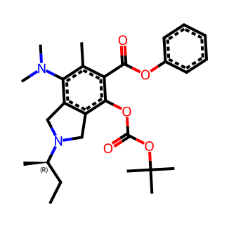 CC[C@@H](C)N1Cc2c(c(N(C)C)c(C)c(C(=O)Oc3ccccc3)c2OC(=O)OC(C)(C)C)C1